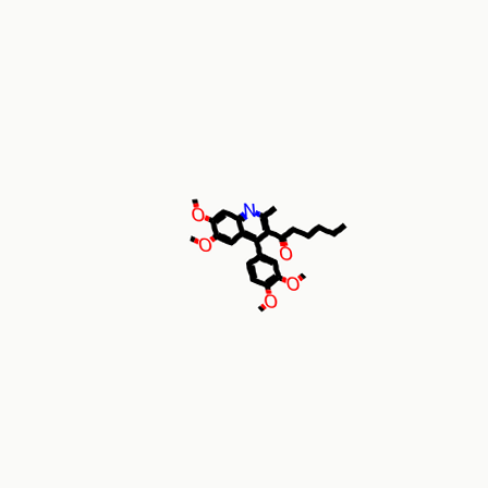 CCCCCC(=O)c1c(C)nc2cc(OC)c(OC)cc2c1-c1ccc(OC)c(OC)c1